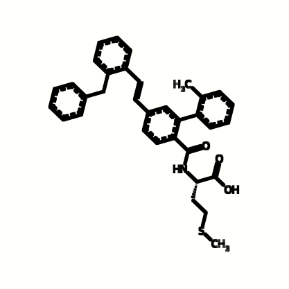 CSCC[C@H](NC(=O)c1ccc(C=Cc2ccccc2Cc2ccccc2)cc1-c1ccccc1C)C(=O)O